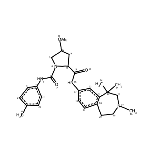 Bc1ccc(NC(=O)N2CC(OC)CC2C(=O)Nc2ccc3c(c2)C(C)(C)CN(C)CC3)cc1